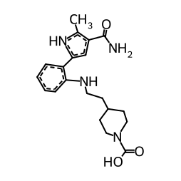 Cc1[nH]c(-c2ccccc2NCCC2CCN(C(=O)O)CC2)cc1C(N)=O